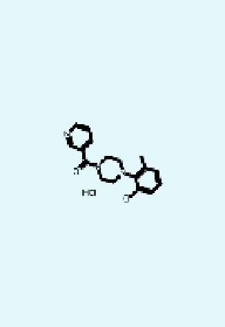 Cc1cccc(Cl)c1N1CCN(C(=O)c2cccnc2)CC1.Cl